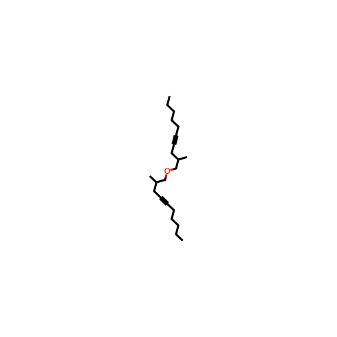 CCCCCC#CCC(C)COCC(C)CC#CCCCCC